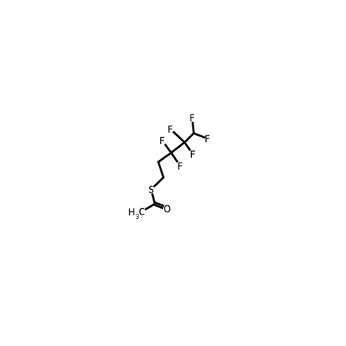 CC(=O)SCCC(F)(F)C(F)(F)C(F)F